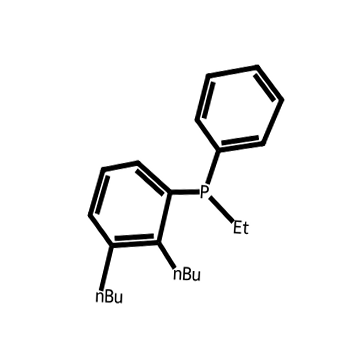 CCCCc1cccc(P(CC)c2ccccc2)c1CCCC